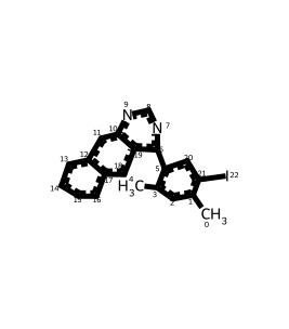 Cc1cc(C)c(-c2ncnc3cc4ccccc4cc23)cc1I